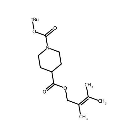 CC(C)=C(C)COC(=O)C1CCN(C(=O)OC(C)(C)C)CC1